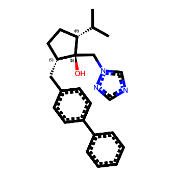 CC(C)[C@H]1CC[C@@H](Cc2ccc(-c3ccccc3)cc2)[C@@]1(O)Cn1cncn1